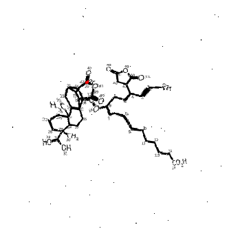 CCC/C=C/C(CCC(CCCCCCCCC(=O)O)OOC1C(C(C)C)C2CC3C4(C)CCCC(C)(C(O)O)C4CCC13C1C(=O)OC(=O)C21)C1CC(=O)OC1=O